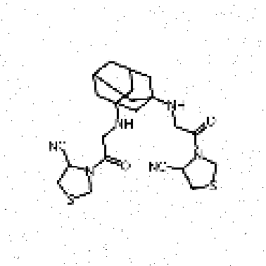 N#CC1CSCN1C(=O)CNC12CC3CC(C1)CC(NCC(=O)N1CSCC1C#N)(C3)C2